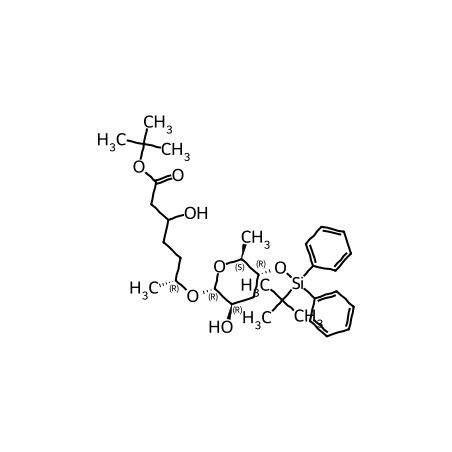 C[C@H](CCC(O)CC(=O)OC(C)(C)C)O[C@@H]1O[C@@H](C)[C@H](O[Si](c2ccccc2)(c2ccccc2)C(C)(C)C)C[C@H]1O